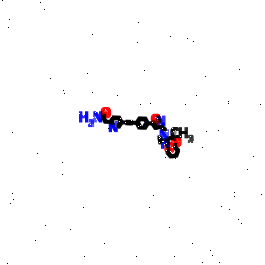 C[C@H](OC1CCCCO1)c1nccn1Cc1cc(-c2ccc(C#Cc3ccc(CC(N)=O)nc3)cc2)on1